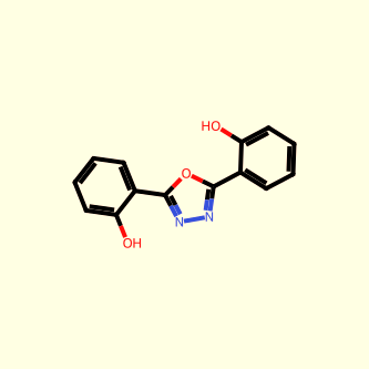 Oc1ccccc1-c1nnc(-c2ccccc2O)o1